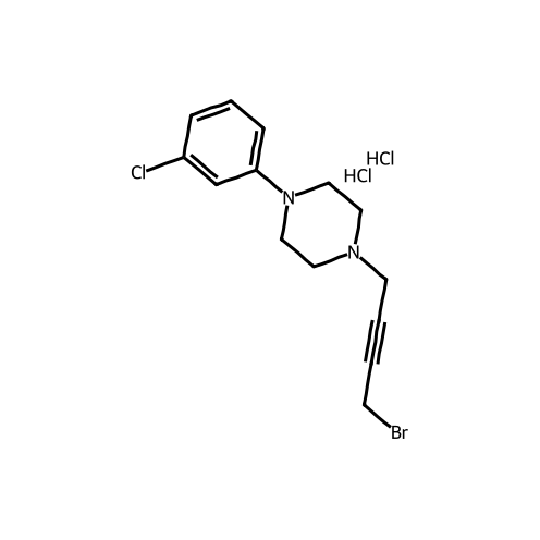 Cl.Cl.Clc1cccc(N2CCN(CC#CCBr)CC2)c1